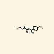 CCOC(=O)/C(N)=C/C(=N)c1ccc(N)cn1